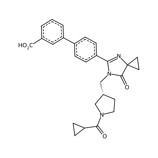 O=C(O)c1cccc(-c2ccc(C3=NC4(CC4)C(=O)N3C[C@@H]3CCN(C(=O)C4CC4)C3)cc2)c1